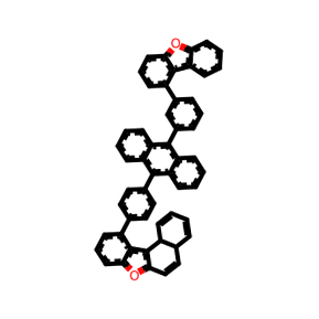 C1=CC2C=Cc3oc4cccc(-c5ccc(-c6c7ccccc7c(-c7cccc(-c8cccc9oc%10ccccc%10c89)c7)c7ccccc67)cc5)c4c3C2C=C1